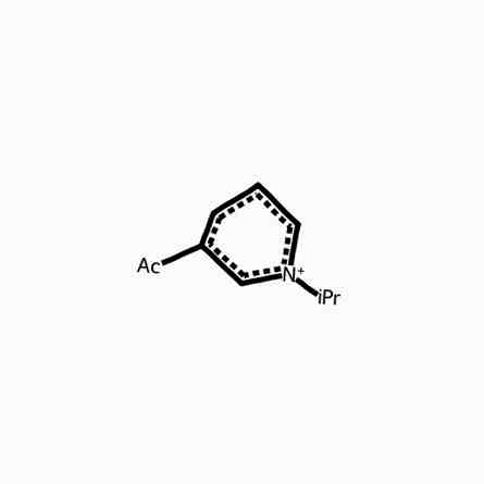 CC(=O)c1ccc[n+](C(C)C)c1